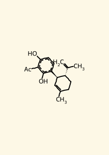 C=C(C)[C@@H]1CCC(C)=C[C@H]1c1ccc(O)c(C(C)=O)c1O